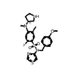 COc1ccc(CN(c2cscn2)S(=O)(=O)c2cc(C)c(N(C)[C@H]3CCNC3)cc2F)cc1